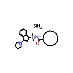 [CH3][Ti]([CH3])([NH]C(=O)C1CCCCCCCCCCC1)[CH]1C=C(N2CCCC2)c2ccccc21.[SiH4]